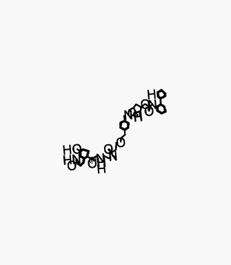 CN(CCNC[C@H](O)c1ccc(O)c2[nH]c(=O)ccc12)C(=O)CCOCCc1ccc(CN2CC3CC(OC(=O)Nc4ccccc4-c4ccccc4)C[C@@H]3C2)cc1